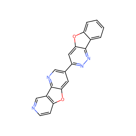 c1ccc2c(c1)oc1cc(-c3cnc4c(c3)oc3ccncc34)nnc12